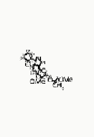 COC[C@@H](C)OC[C@H](Oc1ncnc2c1cnn2-c1ncccc1Cl)C(=O)OC